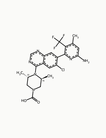 Cc1cc(N)nc(-c2cc3ncnc(N4[C@@H](C)CN(C(=O)O)C[C@@H]4C)c3cc2Cl)c1C(F)(F)F